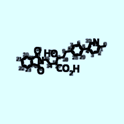 Cc1ccc(-c2ccc(CC[C@@H](O)C(CCN3C(=O)c4ccccc4C3=O)C(=O)O)cc2)cn1